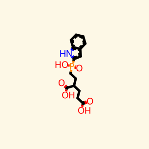 O=C(O)CCC(CCP(=O)(O)c1cc2ccccc2[nH]1)C(=O)O